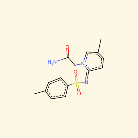 Cc1ccc(S(=O)(=O)N=c2ccc(C)cn2CC(N)=O)cc1